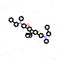 c1ccc(-c2cccc(N(c3ccccc3)c3ccc4c(c3)oc3cc5c(cc34)C3(c4cc6c(cc4-5)sc4cc(N(c5ccccc5)c5cccc(-c7ccccc7)c5)ccc46)C4CC5CC(C4)CC3C5)c2)cc1